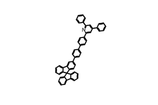 c1ccc(-c2cc(-c3ccccc3)nc(-c3ccc(-c4ccc(-c5ccc6c(c5)-c5ccccc5C65c6ccccc6-c6ccccc65)cc4)cc3)c2)cc1